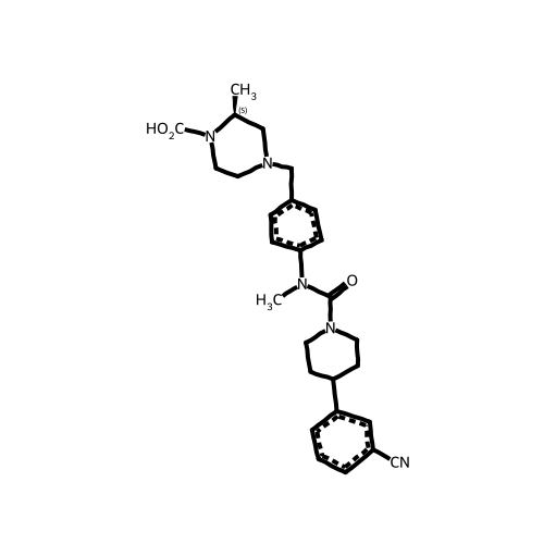 C[C@H]1CN(Cc2ccc(N(C)C(=O)N3CCC(c4cccc(C#N)c4)CC3)cc2)CCN1C(=O)O